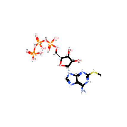 CSc1nc(N)c2ncn([C@@H]3O[C@H](COP(=O)(O)OP(=O)(O)OP(=O)(O)O)C(O)C3O)c2n1